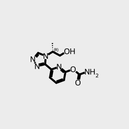 C[C@H](CO)n1cnnc1-c1cccc(OC(N)=O)n1